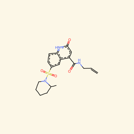 C=CCNC(=O)c1cc(=O)[nH]c2ccc(S(=O)(=O)N3CCCCC3C)cc12